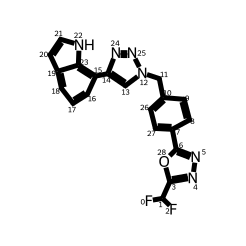 FC(F)c1nnc(-c2ccc(Cn3cc(-c4cccc5cc[nH]c45)nn3)cc2)o1